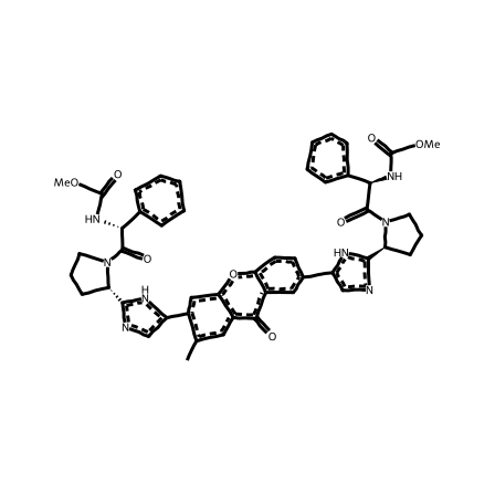 COC(=O)N[C@@H](C(=O)N1CCC[C@H]1c1ncc(-c2ccc3oc4cc(-c5cnc([C@@H]6CCCN6C(=O)[C@H](NC(=O)OC)c6ccccc6)[nH]5)c(C)cc4c(=O)c3c2)[nH]1)c1ccccc1